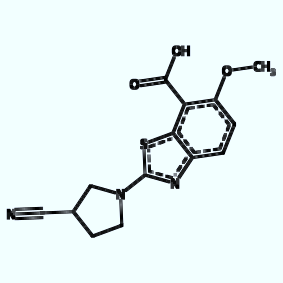 COc1ccc2nc(N3CCC(C#N)C3)sc2c1C(=O)O